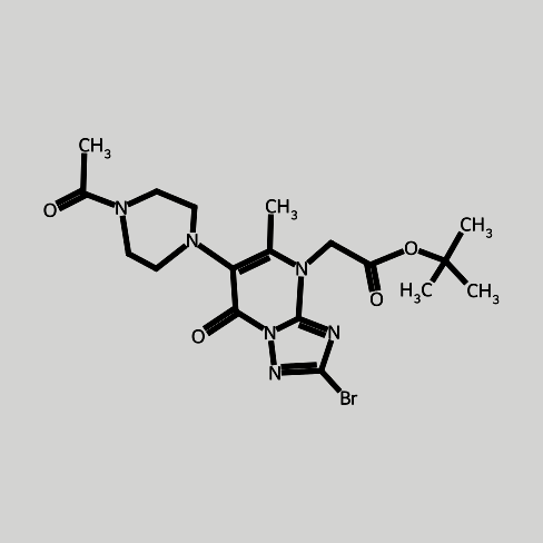 CC(=O)N1CCN(c2c(C)n(CC(=O)OC(C)(C)C)c3nc(Br)nn3c2=O)CC1